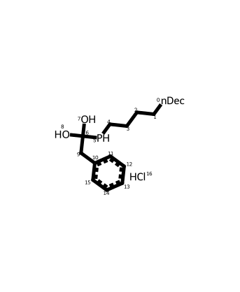 CCCCCCCCCCCCCCPC(O)(O)Cc1ccccc1.Cl